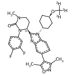 [2H]C([2H])([2H])O[C@H]1CC[C@H](n2c([C@@H]3CCN(C)C(=O)N3c3ccc(F)c(F)c3)nc3cc(-c4c(C)noc4C)ccc32)CC1